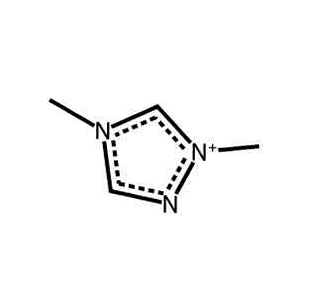 Cn1cn[n+](C)c1